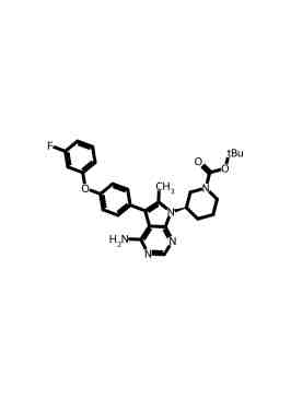 Cc1c(-c2ccc(Oc3cccc(F)c3)cc2)c2c(N)ncnc2n1[C@@H]1CCCN(C(=O)OC(C)(C)C)C1